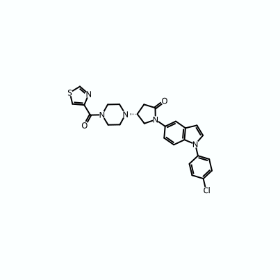 O=C(c1cscn1)N1CCN([C@@H]2CC(=O)N(c3ccc4c(ccn4-c4ccc(Cl)cc4)c3)C2)CC1